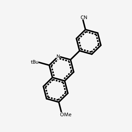 COc1ccc2c(C(C)(C)C)nc(-c3cccc(C#N)c3)cc2c1